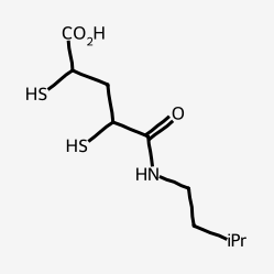 CC(C)CCNC(=O)C(S)CC(S)C(=O)O